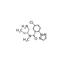 CC[C@@H](CN)N(C)C(=O)c1cc(Cl)ccc1-n1nccn1